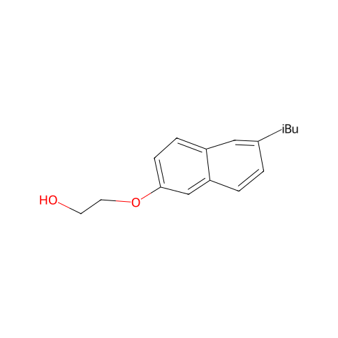 CCC(C)c1ccc2cc(OCCO)ccc2c1